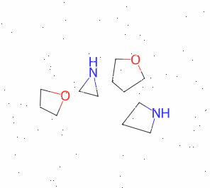 C1CCOC1.C1CN1.C1CNC1.C1COC1